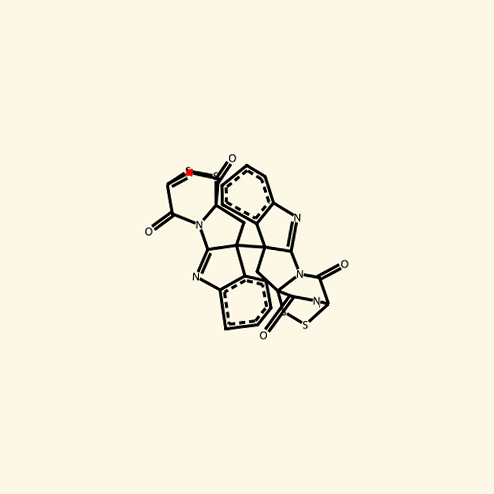 O=C1C2=NC(=O)C3(CC4(C56CC78SSC(=NC7=O)C(=O)N8C5=Nc5ccccc56)C(=Nc5ccccc54)N13)SS2